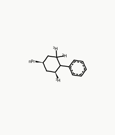 [2H][C@H]1C[C@@H](CCC)CC([2H])([2H])C1c1ccccc1